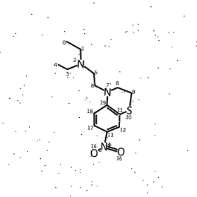 CCN(CC)CCN1CCSc2cc([N+](=O)[O-])ccc21